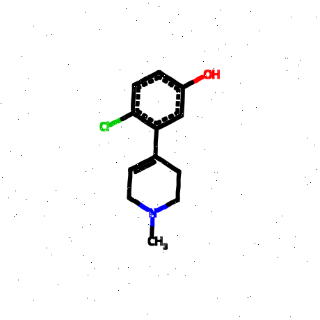 CN1CC=C(c2cc(O)ccc2Cl)CC1